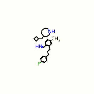 Cc1cc(CCCc2ccc(F)cc2)c(C=N)cc1[C@H]1CNCCCCC1CC1CCC1